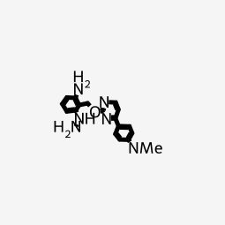 CNc1ccc(-c2ccnc(OCc3c(N)cccc3NN)n2)cc1